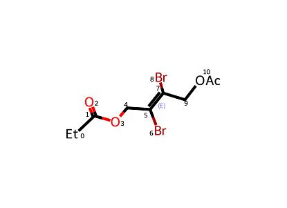 CCC(=O)OC/C(Br)=C(\Br)COC(C)=O